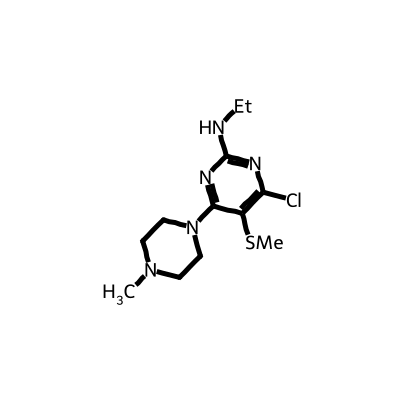 CCNc1nc(Cl)c(SC)c(N2CCN(C)CC2)n1